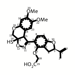 C=C(C)[C@H]1Cc2c(ccc(C3=NOC4(S)COc5cc(OC)c(OC)cc5C34)c2OCC(=O)O)O1